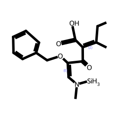 CC/C(C)=C(\C(=O)O)C(=O)/C(=C\N(C)[SiH3])OCc1ccccc1